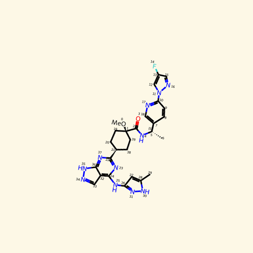 CO[C@]1(C(=O)N[C@@H](C)c2ccc(-n3cc(F)cn3)nc2)CC[C@H](c2nc(Nc3cc(C)[nH]n3)c3cn[nH]c3n2)CC1